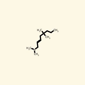 CCCC(C)(C)C/C=C/CN(C)C